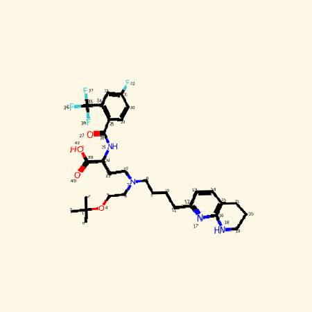 CC(C)(C)OCCN(CCCCc1ccc2c(n1)NCCC2)CCC(NC(=O)c1ccc(F)cc1C(F)(F)F)C(=O)O